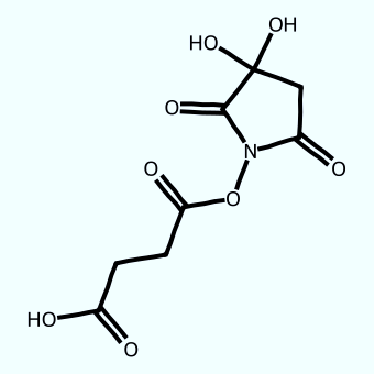 O=C(O)CCC(=O)ON1C(=O)CC(O)(O)C1=O